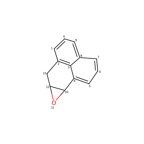 c1cc2c3c(cccc3c1)C1OC1C2